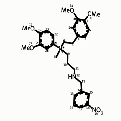 COc1ccc(CC[N+](C)(CCCNCc2cccc([N+](=O)[O-])c2)c2ccc(OC)c(OC)c2)cc1OC